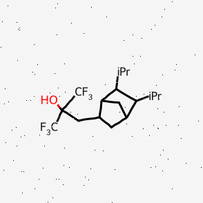 CC(C)C1C2CC(CC(O)(C(F)(F)F)C(F)(F)F)C(C2)C1C(C)C